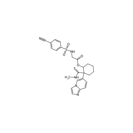 CNC(=S)C1(c2ccc3nccn3c2)CCCCC1OC(=O)CNS(=O)(=O)c1ccc(C#N)cc1